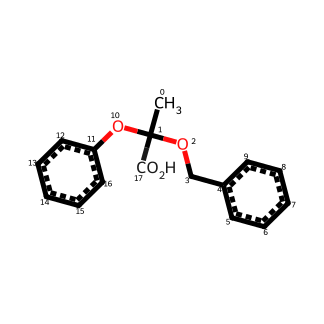 CC(OCc1ccccc1)(Oc1ccccc1)C(=O)O